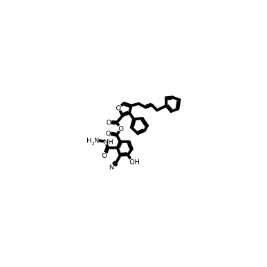 N#Cc1c(O)ccc(C(=O)OC(=O)c2occ(CC=CCc3ccccc3)c2-c2ccccc2)c1C(=O)NN